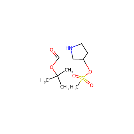 CC(C)(C)OC=O.CS(=O)(=O)OC1CCNC1